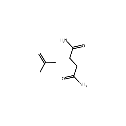 C=C(C)C.NC(=O)CCC(N)=O